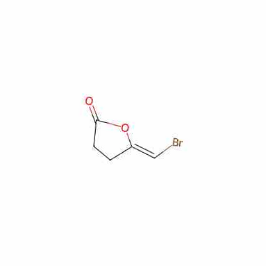 O=C1CC/C(=C/Br)O1